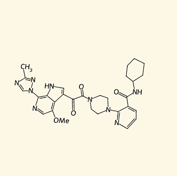 COc1cnc(-n2cnc(C)n2)c2[nH]cc(C(=O)C(=O)N3CCN(c4ncccc4C(=O)NC4CCCCC4)CC3)c12